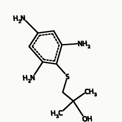 CC(C)(O)CSc1c(N)cc(N)cc1N